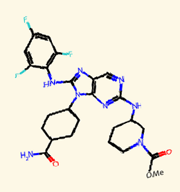 COC(=O)N1CCCC(Nc2ncc3nc(Nc4c(F)cc(F)cc4F)n(C4CCC(C(N)=O)CC4)c3n2)C1